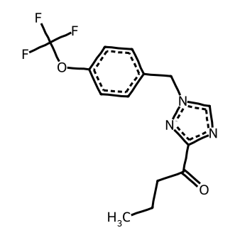 CCCC(=O)c1ncn(Cc2ccc(OC(F)(F)F)cc2)n1